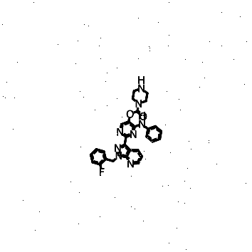 O=C(Oc1cnc(-c2nn(Cc3ccccc3F)c3ncccc23)nc1Nc1ccccc1)N1CCNCC1